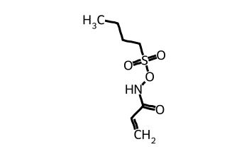 C=CC(=O)NOS(=O)(=O)CCCC